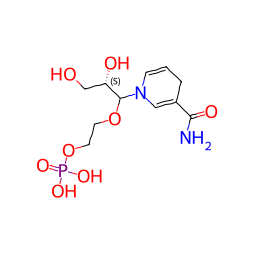 NC(=O)C1=CN(C(OCCOP(=O)(O)O)[C@@H](O)CO)C=CC1